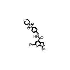 CC(C)c1cc(C(=O)NCc2ccc(S(=O)(=O)N3CCOCC3)cc2)c2cnn(C(C)C)c2n1